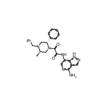 CC(C)CN1C[C@H](c2ccccc2)N(C(=O)C(=O)Nc2cnc(N)c3cn[nH]c23)C[C@H]1C